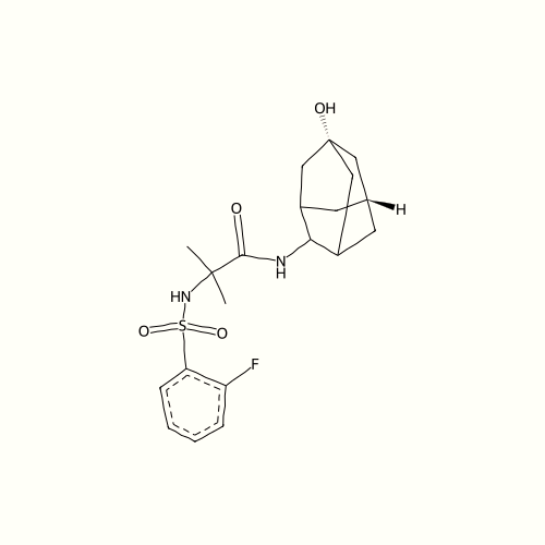 CC(C)(NS(=O)(=O)c1ccccc1F)C(=O)NC1C2C[C@H]3CC1C[C@@](O)(C2)C3